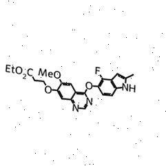 CCOC(=O)CCOc1cc2ncnc(Oc3ccc4[nH]c(C)cc4c3F)c2cc1OC